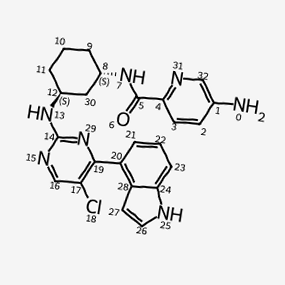 Nc1ccc(C(=O)N[C@H]2CCC[C@H](Nc3ncc(Cl)c(-c4cccc5[nH]ccc45)n3)C2)nc1